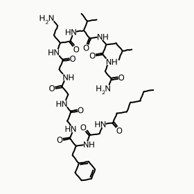 CCCCCCC(=O)NCC(=O)NC(CC1=CC=CCC1)C(=O)NCC(=O)NCC(=O)NCC(=O)NC(CCN)C(=O)NC(C(=O)NC(CC(C)C)C(=O)NCC(N)=O)C(C)C